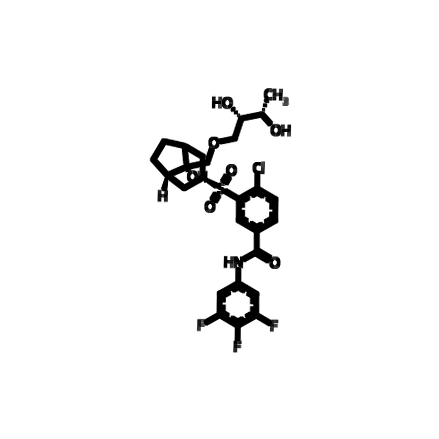 C[C@H](O)[C@@H](O)COC[C@@]1(O)C2CC[C@H]1C[C@H](S(=O)(=O)c1cc(C(=O)Nc3cc(F)c(F)c(F)c3)ccc1Cl)C2